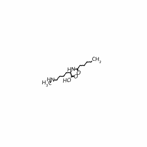 CCCCCC(=O)NC(CCCCNC)C(=O)O